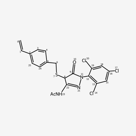 C=Cc1ccc(CSC2C(=O)N(c3c(Cl)cc(Cl)cc3Cl)N=C2NC(C)=O)cc1